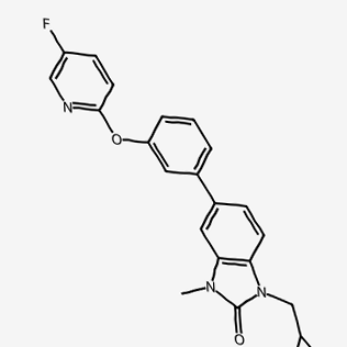 Cn1c(=O)n(CC2CC2)c2ccc(-c3cccc(Oc4ccc(F)cn4)c3)cc21